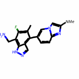 CNc1cn2cc(-c3c(C)c(F)c(CN)c4[nH]ncc34)ccc2n1